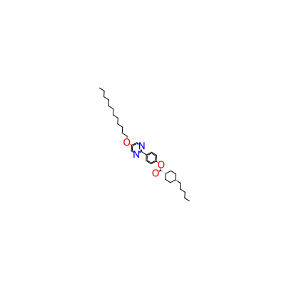 CCCCCCCCCCCCOc1cnc(-c2ccc(OC(=O)[C@H]3CC[C@H](CCCCC)CC3)cc2)nc1